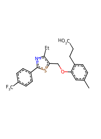 CCc1nc(-c2ccc(C(F)(F)F)cc2)sc1COc1cc(C)ccc1CCC(=O)O